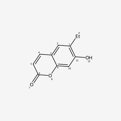 CCc1cc2ccc(=O)oc2cc1O